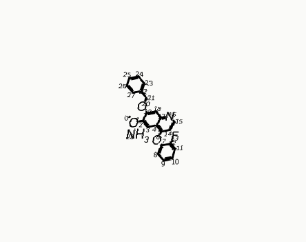 COc1cc2c(Oc3ccccc3F)ccnc2cc1OCc1ccccc1.N